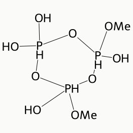 CO[PH]1(O)O[PH](O)(O)O[PH](O)(OC)O1